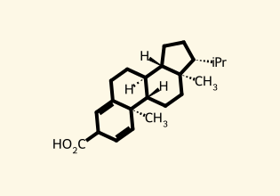 CC(C)[C@H]1CC[C@H]2[C@@H]3CCC4=CC(C(=O)O)C=C[C@]4(C)[C@H]3CC[C@]12C